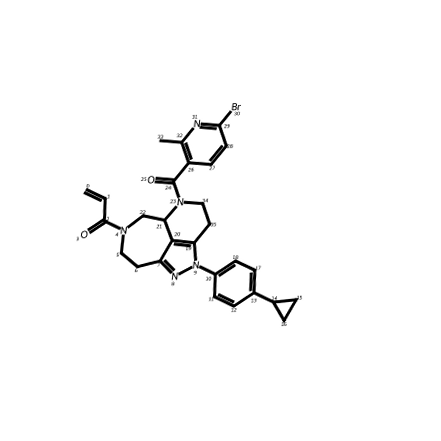 C=CC(=O)N1CCc2nn(-c3ccc(C4CC4)cc3)c3c2C(C1)N(C(=O)c1ccc(Br)nc1C)CC3